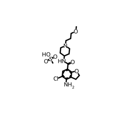 COCCCN1CCC(NC(=O)c2cc(Cl)c(N)c3c2OCC3)CC1.CS(=O)(=O)O